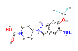 Nc1cc2cn(C3CCN(C(=O)O)CC3)nc2cc1OC(F)F